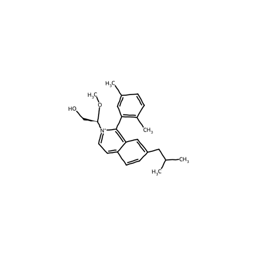 CO[C@H](CO)[n+]1ccc2ccc(CC(C)C)cc2c1-c1cc(C)ccc1C